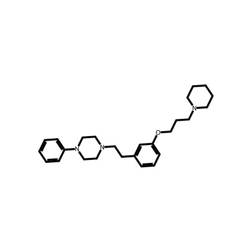 c1ccc(N2CCN(CCc3cccc(OCCCN4CCCCC4)c3)CC2)cc1